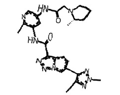 Cc1ncc(NC(=O)CN2CCC[C@@H]2C)cc1NC(=O)c1nnn2cc(-c3nn(C)nc3C)ccc12